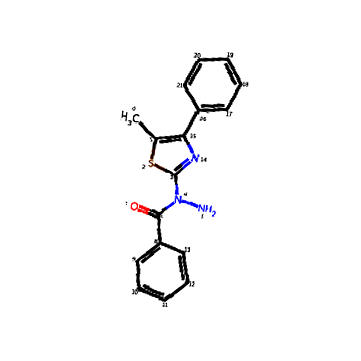 Cc1sc(N(N)C(=O)c2ccccc2)nc1-c1ccccc1